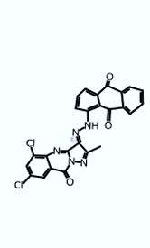 CC1=Nn2c(nc3c(Cl)cc(Cl)cc3c2=O)/C1=N/Nc1cccc2c1C(=O)c1ccccc1C2=O